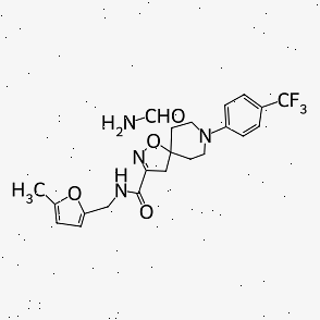 Cc1ccc(CNC(=O)C2=NOC3(CCN(c4ccc(C(F)(F)F)cc4)CC3)C2)o1.NC=O